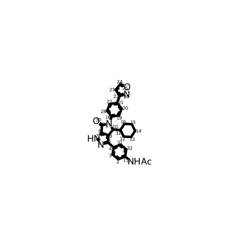 CC(=O)Nc1ccc(-c2n[nH]c3c2C(C2CCCCC2)N(c2ccc(-c4ccon4)cc2)C3=O)cc1